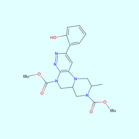 CC1CN2c3cc(-c4ccccc4O)nnc3N(C(=O)OC(C)(C)C)CC2CN1C(=O)OC(C)(C)C